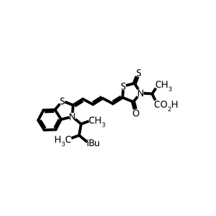 CCC(C)C(C)C(C)N1\C(=C/C=C/C=C2\SC(=S)N(C(C)C(=O)O)C2=O)Sc2ccccc21